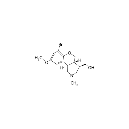 COc1cc(Br)c2c(c1)[C@@H]1CN(C)C[C@H](CO)[C@H]1CO2